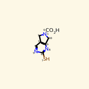 O=C(O)N1Cc2cnc(S)nc2C1